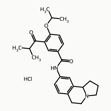 CC(C)Oc1ccc(C(=O)Nc2ccc3c(c2)C2CCCN2CC3)cc1C(=O)C(C)C.Cl